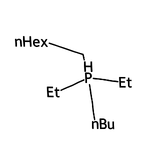 CCCCCCC[PH](CC)(CC)CCCC